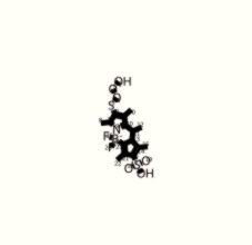 CC1=C(SOOO)C(C)[N+]2=C1C(C)C1C(C)=C(S(=O)(=O)O)C(C)=C1[B-]2(F)F